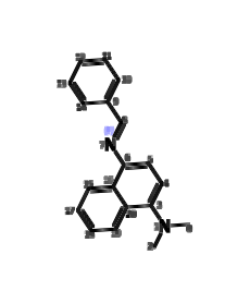 CN(C)c1ccc(/N=C/c2ccccc2)c2ccccc12